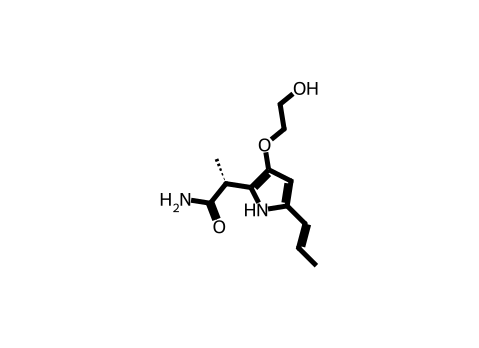 C/C=C/c1cc(OCCO)c([C@@H](C)C(N)=O)[nH]1